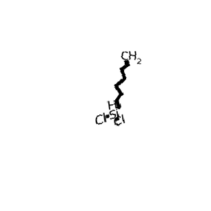 C=CCCCCCC[SiH](Cl)Cl